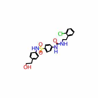 O=C(NCCc1ccccc1Cl)Nc1ccc(S(=O)(=O)Nc2ccc(CCO)cc2)cc1